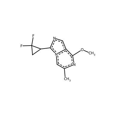 COc1nc(C)cn2c(C3CC3(F)F)ncc12